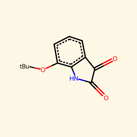 CC(C)(C)Oc1cccc2c1NC(=O)C2=O